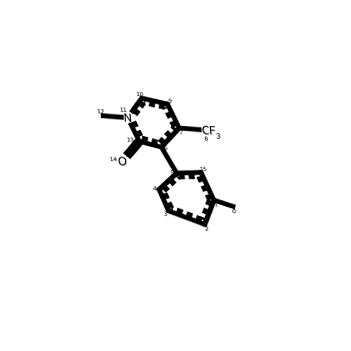 Cc1cccc(-c2c(C(F)(F)F)ccn(C)c2=O)c1